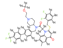 [2H]c1c([2H])c(F)c(F)c(CSc2c([2H])c(=O)c3c([2H])c(C)c([2H])c([2H])c3n2C([2H])([2H])C(=O)N(Cc2c([2H])c([2H])c(-c3c([2H])c([2H])c(C(F)(F)F)c([2H])c3[2H])c([2H])c2[2H])C2CCN(CCOC([2H])([2H])[2H])CC2)c1[2H]